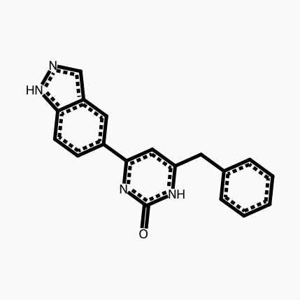 O=c1nc(-c2ccc3[nH]ncc3c2)cc(Cc2ccccc2)[nH]1